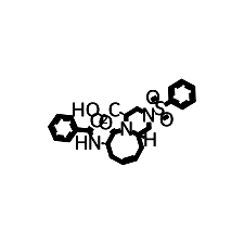 O=C(N[C@H]1C/C=C\C[C@H]2CN(S(=O)(=O)c3ccccc3)C[C@@H](C(=O)O)N2C1=O)c1ccccc1